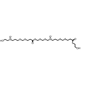 O=C(CCSCSCCC[S+]([O-])CSCSCSC(=O)CCSCSCCC[S+]([O-])CCO)SCCO